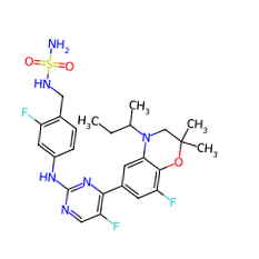 CCC(C)N1CC(C)(C)Oc2c(F)cc(-c3nc(Nc4ccc(CNS(N)(=O)=O)c(F)c4)ncc3F)cc21